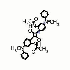 CC(=O)NC1=CC(=[N+](/C)c2ccccc2)/C=CC/1=C1/C(=O)C(c2ccc(N(C)c3ccccc3)cc2NC(C)=O)=C1[O-]